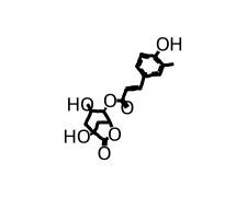 Cc1cc(/C=C/C(=O)O[C@@H]2C(O)C[C@]3(O)CC2OC3=O)ccc1O